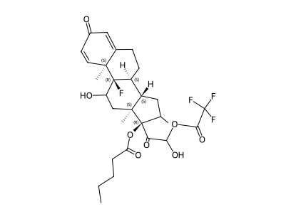 CCCCC(=O)O[C@]1(C(=O)C(O)OC(=O)C(F)(F)F)C(C)C[C@H]2[C@@H]3CCC4=CC(=O)C=C[C@]4(C)[C@@]3(F)C(O)C[C@@]21C